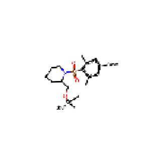 COc1cc(C)c(S(=O)(=O)N2CCCCC2CO[Si](C)(C)C(C)(C)C)c(C)c1